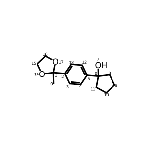 CC1(c2ccc(C3(O)CCCC3)cc2)OCCO1